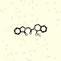 CC1c2ccccc2CCN1C(=O)CN1Cc2ccccc2C1=O